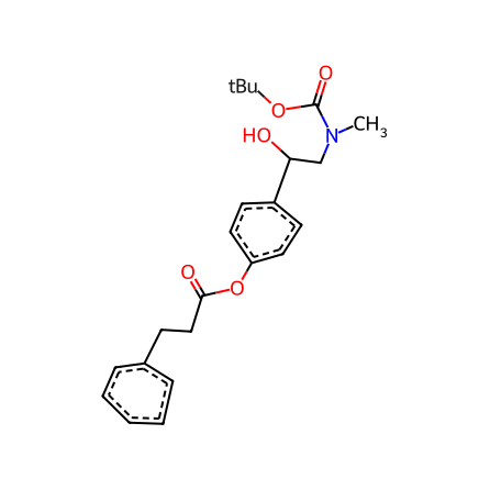 CN(CC(O)c1ccc(OC(=O)CCc2ccccc2)cc1)C(=O)OC(C)(C)C